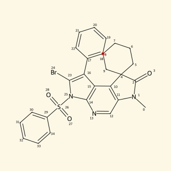 CN1C(=O)C2(CCCCC2)c2c1cnc1c2c(-c2ccccc2)c(Br)n1S(=O)(=O)c1ccccc1